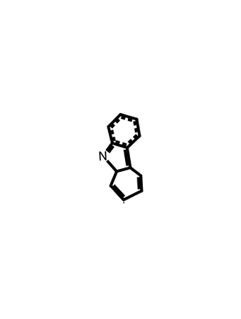 [C]1=CC2N=c3ccccc3=C2C=C1